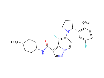 COc1ccc(F)cc1[C@H]1CCCN1c1ccn2ncc(C(=O)NC3CCC(C(=O)O)CC3)c2c1F